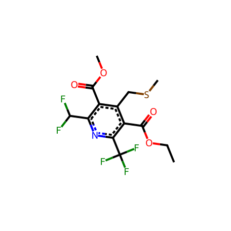 CCOC(=O)c1c(C(F)(F)F)nc(C(F)F)c(C(=O)OC)c1CSC